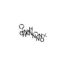 Cn1c(=O)n(CC(C)(C)C)c2ccc(N3C[C@H]4C[C@@H]3CN4C(=O)c3ccccc3)nc21